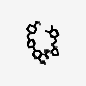 Cc1ccc(CO[C@H]2CCC[C@@H]2NC(=O)c2cc(-c3ccc(CN4CCC(N)CC4)cc3)cnc2N)cc1C